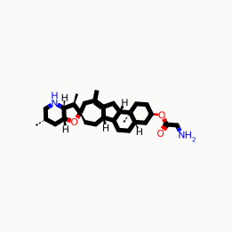 CC1=C2C[C@H]3C(CC[C@@H]4C[C@H](OC(=O)CN)CC[C@@]43C)[C@@H]2CC[C@@]2(C1)O[C@@H]1C[C@H](C)CN[C@H]1[C@H]2C